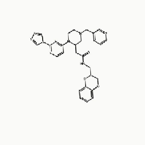 O=C(CC1CN(Cc2cccnc2)CCN1c1ccnc(-n2ccnc2)n1)NCC1COc2ccccc2O1